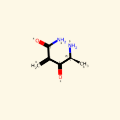 C=C(C(N)=O)C(=O)[C@H](C)N